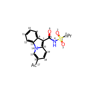 CCCS(=O)(=O)NC(=O)c1c2ccccc2n2cc(C(C)=O)ccc12